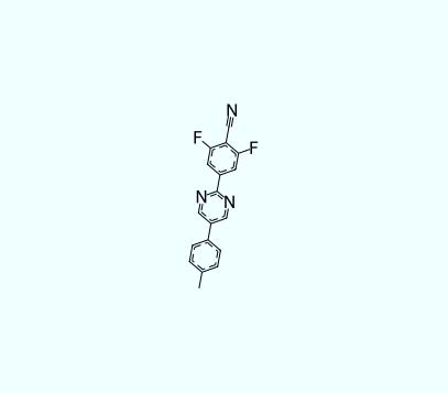 Cc1ccc(-c2cnc(-c3cc(F)c(C#N)c(F)c3)nc2)cc1